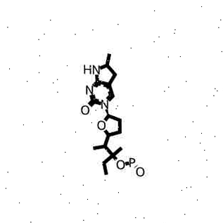 CCC(C)(OP=O)C(C)C1CC[C@H](n2cc3c(nc2=O)NC(C)C3)O1